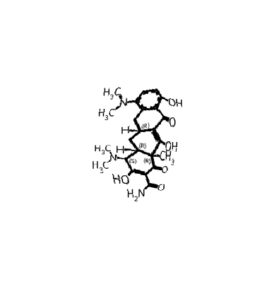 CN(C)c1ccc(O)c2c1C[C@H]1C[C@H]3[C@H](N(C)C)C(O)=C(C(N)=O)C(=O)[C@@]3(C)C(O)=C1C2=O